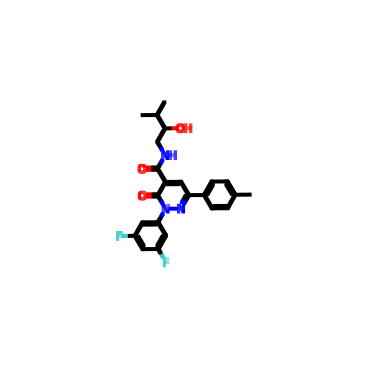 Cc1ccc(-c2cc(C(=O)NCC(O)C(C)C)c(=O)n(-c3cc(F)cc(F)c3)n2)cc1